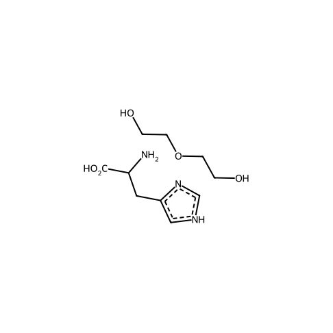 NC(Cc1c[nH]cn1)C(=O)O.OCCOCCO